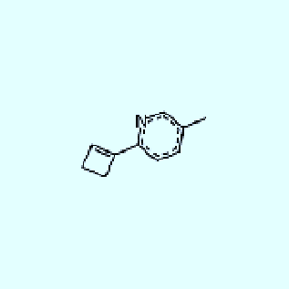 Cc1ccc(C2=CCC2)nc1